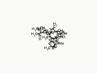 CC[C@@H](O)[C@@](C)(O)[C@@H]1OC(=O)[C@H](C)[C@@H](O[C@H]2CC3(OC)O[C@H]3C(C)O2)[C@H](C)[C@@H](OOC(C)CC(C(C)O)N(C)C)[C@@]2(C)CC(C)C(O2)[C@@H]1C